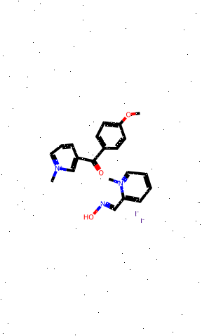 COc1ccc(C(=O)c2ccc[n+](C)c2)cc1.C[n+]1ccccc1C=NO.[I-].[I-]